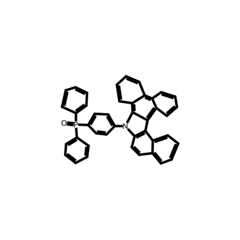 O=P(c1ccccc1)(c1ccccc1)c1ccc(-n2c3ccc4ccccc4c3c3c4ccccc4c4ccccc4c32)cc1